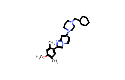 COc1cc(C)c(-c2cn3ccc(N4CCCN(CC5CCCCC5)CC4)cc3n2)cc1C